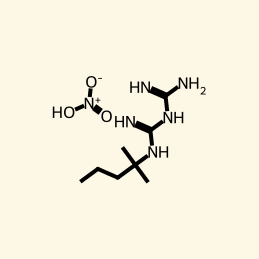 CCCC(C)(C)NC(=N)NC(=N)N.O=[N+]([O-])O